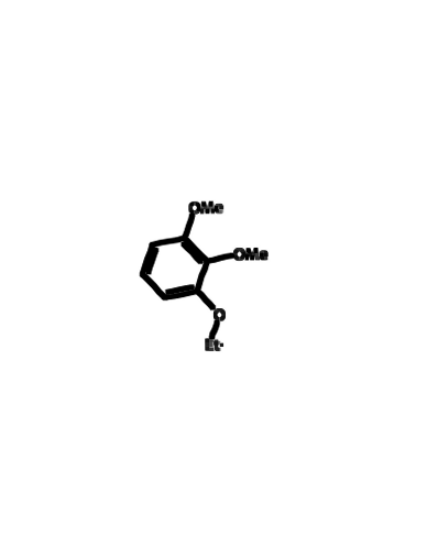 C[CH]Oc1cccc(OC)c1OC